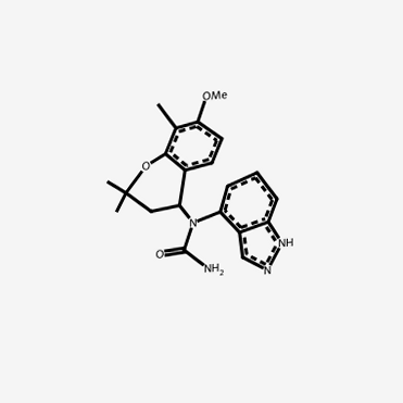 COc1ccc2c(c1C)OC(C)(C)CC2N(C(N)=O)c1cccc2[nH]ncc12